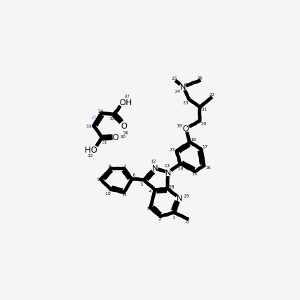 Cc1ccc2c(-c3ccccc3)nn(-c3cccc(OCC(C)CN(C)C)c3)c2n1.O=C(O)/C=C\C(=O)O